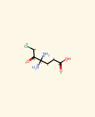 NC(N)(CCC(=O)O)C(=O)CCl